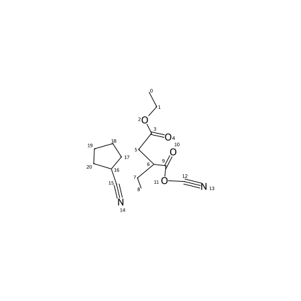 CCOC(=O)CC(CC)C(=O)OC#N.N#CC1CCCC1